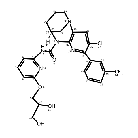 O=C(Nc1cccc(OCC(O)CO)n1)N1c2nc(-c3cccc(C(F)(F)F)c3)c(Cl)cc2N2CCC[C@H]1C2